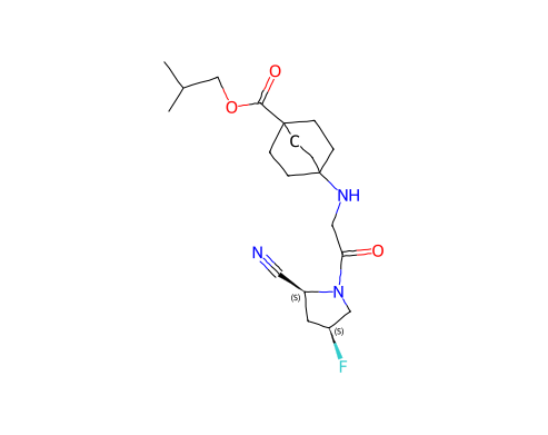 CC(C)COC(=O)C12CCC(NCC(=O)N3C[C@@H](F)C[C@H]3C#N)(CC1)CC2